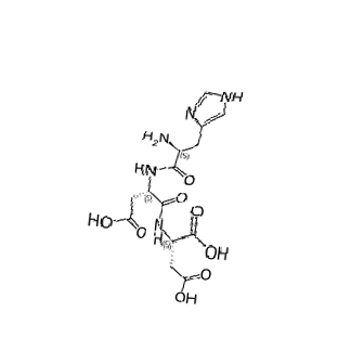 N[C@@H](Cc1c[nH]cn1)C(=O)N[C@@H](CC(=O)O)C(=O)N[C@@H](CC(=O)O)C(=O)O